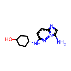 Nc1cnc2ccc(N[C@H]3CC[C@H](O)CC3)nn12